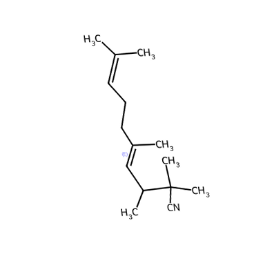 CC(C)=CCC/C(C)=C/C(C)C(C)(C)C#N